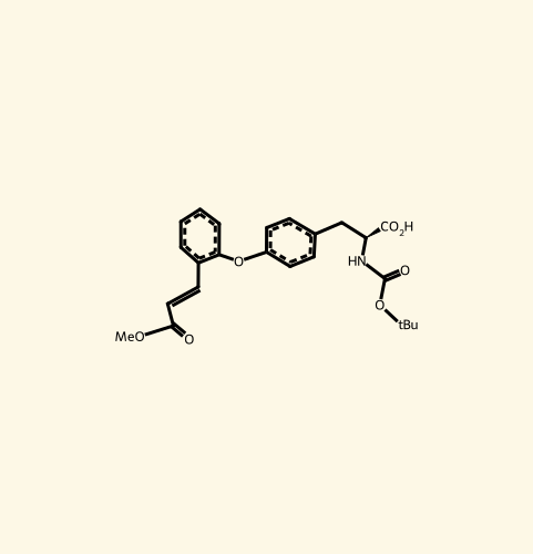 COC(=O)/C=C/c1ccccc1Oc1ccc(C[C@H](NC(=O)OC(C)(C)C)C(=O)O)cc1